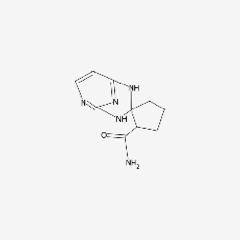 NC(=O)C1CCCC12Nc1ccnc(n1)N2